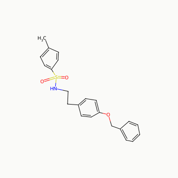 Cc1ccc(S(=O)(=O)NCCc2ccc(OCc3ccccc3)cc2)cc1